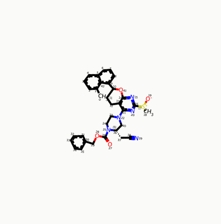 Cc1cccc2cccc(C3CCc4c(nc([S+](C)[O-])nc4N4CCN(C(=O)OCc5ccccc5)[C@@H](CC#N)C4)O3)c12